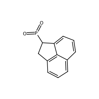 O=P(=O)C1Cc2cccc3cccc1c23